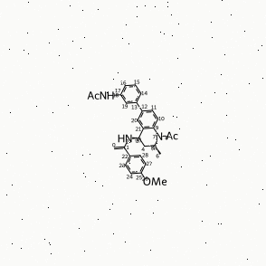 C=C(N[C@@H]1C[C@H](C)N(C(C)=O)c2ccc(-c3cccc(NC(C)=O)c3)cc21)c1ccc(OC)cc1